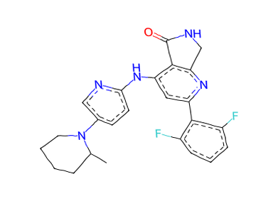 CC1CCCCN1c1ccc(Nc2cc(-c3c(F)cccc3F)nc3c2C(=O)NC3)nc1